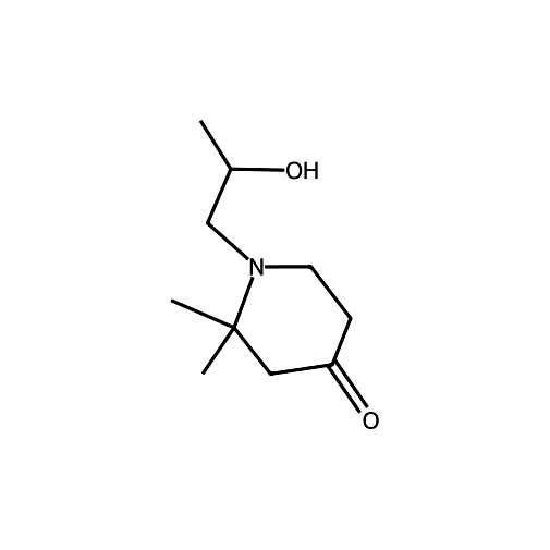 CC(O)CN1CCC(=O)CC1(C)C